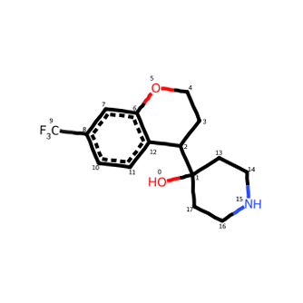 OC1(C2CCOc3cc(C(F)(F)F)ccc32)CCNCC1